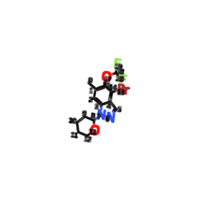 Cc1cc2c(cnn2C2CCCCO2)c(Br)c1OC(F)F